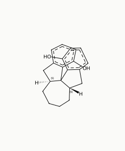 Oc1cccc2c1C13c4c(O)cccc4C[C@@H]1CCCC[C@H]3C2